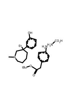 CC(C)(C)OC(=O)Cc1ccc(N)cc1.CCC1(c2cccc(O)c2)CCCCN(C)C1.NC(=O)O